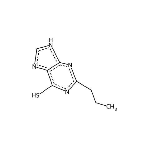 CCCc1nc(S)c2nc[nH]c2n1